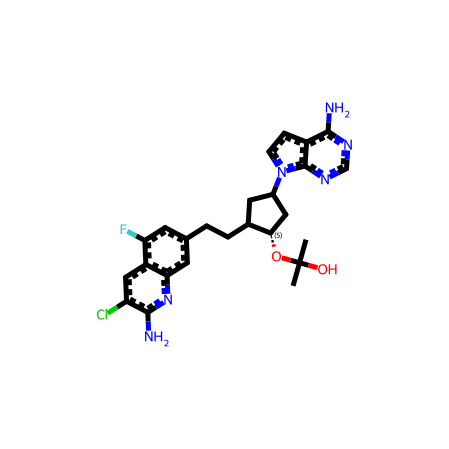 CC(C)(O)O[C@H]1CC(n2ccc3c(N)ncnc32)CC1CCc1cc(F)c2cc(Cl)c(N)nc2c1